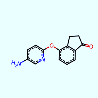 Nc1ccc(Oc2cccc3c2CCC3=O)nc1